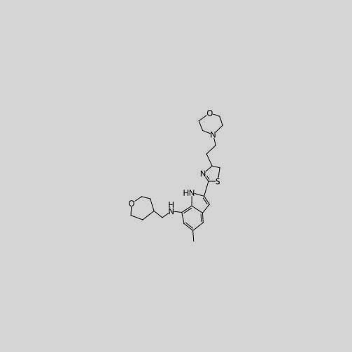 Cc1cc(NCC2CCOCC2)c2[nH]c(C3=NC(CCN4CCOCC4)CS3)cc2c1